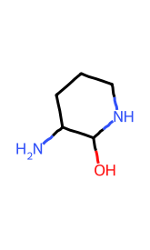 NC1CCCNC1O